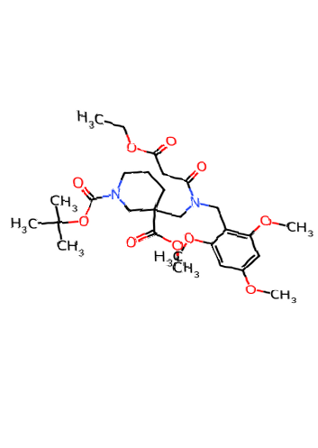 CCOC(=O)CC(=O)N(Cc1c(OC)cc(OC)cc1OC)CC1(C(=O)OC)CCCN(C(=O)OC(C)(C)C)C1